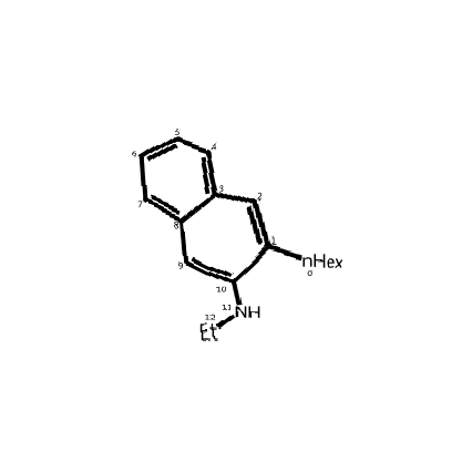 CCCCCCc1[c]c2ccccc2cc1NCC